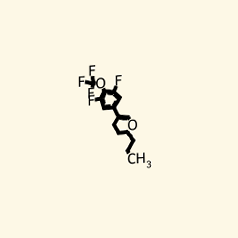 CCCC1CCC(c2cc(F)c(OC(F)(F)F)c(F)c2)=CO1